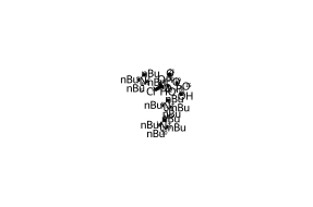 CCCC[N+](CCCC)(CCCC)CCCC.CCCC[N+](CCCC)(CCCC)CCCC.CCCC[N+](CCCC)(CCCC)CCCC.O=P(O)(O)OP1(=O)OC(Cl)O1